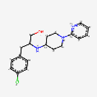 OCC(Cc1ccc(Cl)cc1)NC1CCN(c2ccccn2)CC1